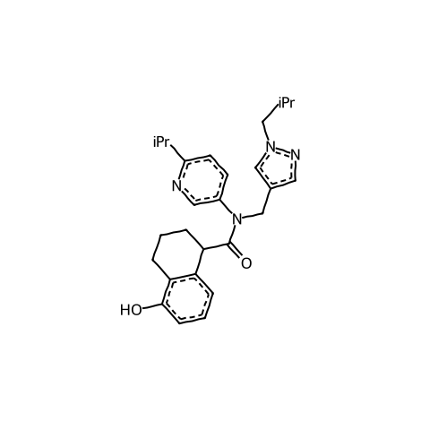 CC(C)Cn1cc(CN(C(=O)C2CCCc3c(O)cccc32)c2ccc(C(C)C)nc2)cn1